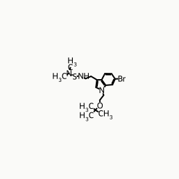 CN(C)SNCCc1cn(CCOC(C)(C)C)c2cc(Br)ccc12